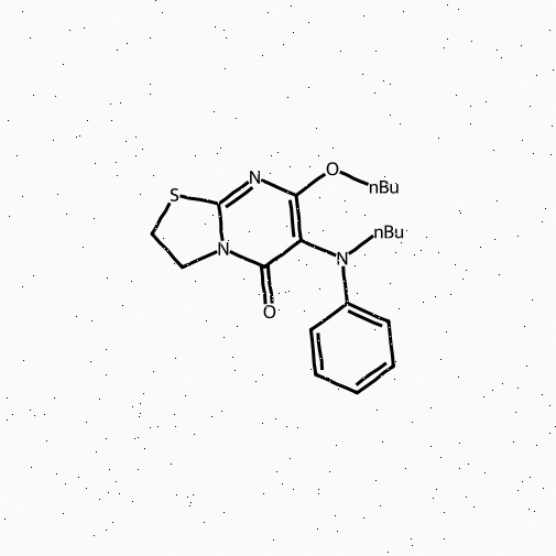 CCCCOc1nc2n(c(=O)c1N(CCCC)c1ccccc1)CCS2